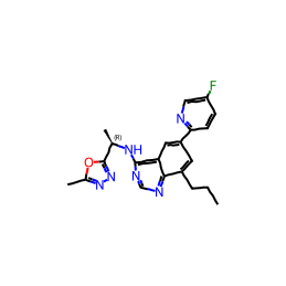 CCCc1cc(-c2ccc(F)cn2)cc2c(N[C@H](C)c3nnc(C)o3)ncnc12